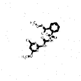 CON=C(Cl)c1ccccc1S(=O)(=O)NC(=O)Nc1nc(Cl)cc(OC)n1